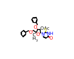 CC(=O)OC1C(OCc2ccccc2)[C@@](C)(COCc2ccccc2)O[C@H]1n1ccc(=O)[nH]c1=S